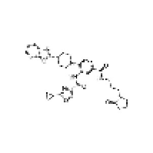 O=C(NCCCN1CCCC1=O)c1ccc(N2CCN(c3nc4ccccc4o3)CC2)c(NC(=O)c2coc(C3CC3)n2)c1